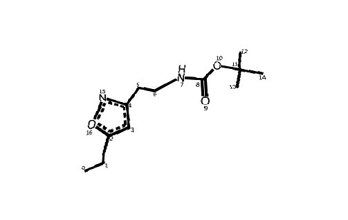 CCc1cc(CCNC(=O)OC(C)(C)C)no1